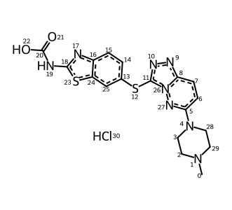 CN1CCN(c2ccc3nnc(Sc4ccc5nc(NC(=O)O)sc5c4)n3n2)CC1.Cl